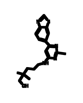 Cc1nc(NCCCC(C)(C)CO)cc(-c2ccc3ncsc3c2)n1